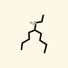 [CH2]C[SiH2]C(CCCC)CCCC